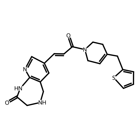 O=C1CNCc2cc(C=CC(=O)N3CC=C(Cc4cccs4)CC3)cnc2N1